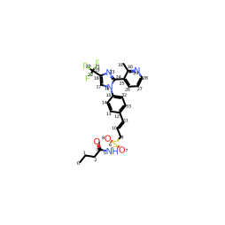 CCCC(=O)NS(=O)(=O)CC=Cc1ccc(-n2cc(C(F)(F)F)nc2-c2cccnc2C)cc1